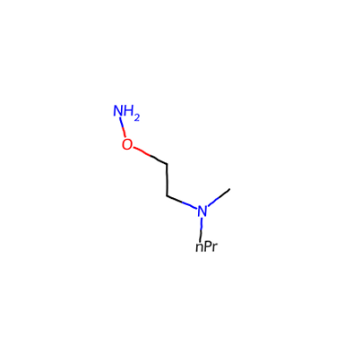 CCCN(C)CCON